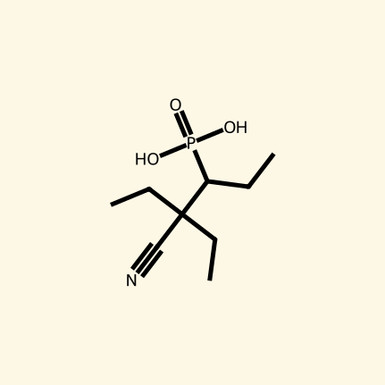 CCC(C(C#N)(CC)CC)P(=O)(O)O